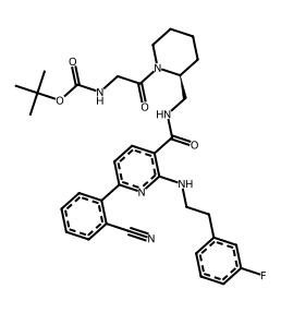 CC(C)(C)OC(=O)NCC(=O)N1CCCC[C@H]1CNC(=O)c1ccc(-c2ccccc2C#N)nc1NCCc1cccc(F)c1